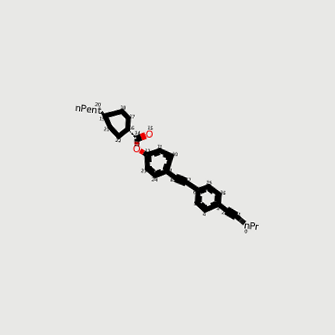 CCCC#Cc1ccc(C#Cc2ccc(OC(=O)[C@H]3CC[C@H](CCCCC)CC3)cc2)cc1